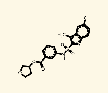 Cc1c(S(=O)(=O)Nc2cccc(C(=O)OC3CCOC3)c2)sc2ccc(Cl)cc12